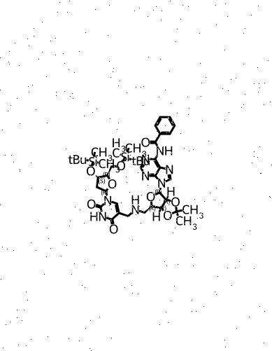 CC1(C)O[C@@H]2[C@H](O1)[C@@H](CNCc1cn([C@H]3C[C@H](O[Si](C)(C)C(C)(C)C)[C@@H](CO[Si](C)(C)C(C)(C)C)O3)c(=O)[nH]c1=O)O[C@H]2n1cnc2c(NC(=O)c3ccccc3)ncnc21